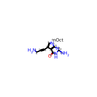 CCCCCCCCn1cc(C#CCN)c2c(=O)[nH]c(N)nc21